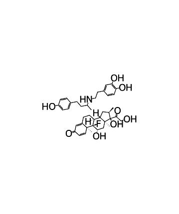 CC(CCc1ccc(O)cc1)NCCc1ccc(O)c(O)c1.C[C@@H]1C[C@H]2[C@@H]3CCC4=CC(=O)C=C[C@]4(C)[C@@]3(F)[C@@H](O)C[C@]2(C)[C@@]1(O)C(=O)CO